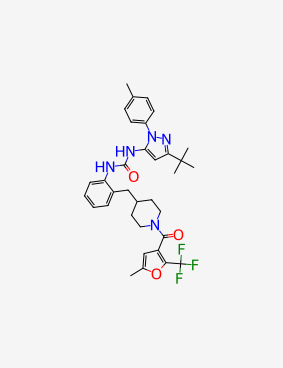 Cc1ccc(-n2nc(C(C)(C)C)cc2NC(=O)Nc2ccccc2CC2CCN(C(=O)c3cc(C)oc3C(F)(F)F)CC2)cc1